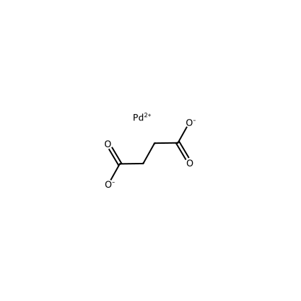 O=C([O-])CCC(=O)[O-].[Pd+2]